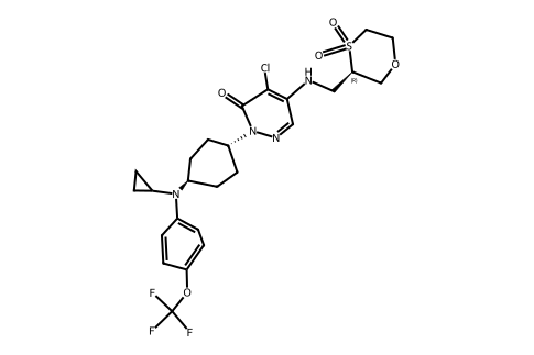 O=c1c(Cl)c(NC[C@@H]2COCCS2(=O)=O)cnn1[C@H]1CC[C@H](N(c2ccc(OC(F)(F)F)cc2)C2CC2)CC1